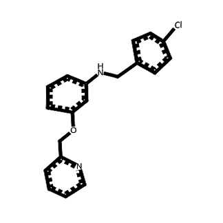 Clc1ccc(CNc2cccc(OCc3ccccn3)c2)cc1